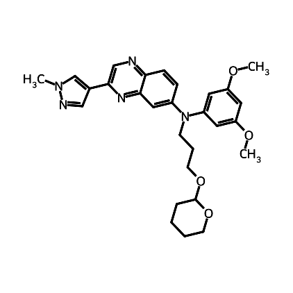 COc1cc(OC)cc(N(CCCOC2CCCCO2)c2ccc3ncc(-c4cnn(C)c4)nc3c2)c1